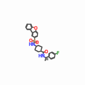 C[C@@H](NC(=O)C1CCC(NS(=O)(=O)c2ccc3oc4ccccc4c3c2)CC1)c1ccc(F)cc1